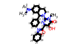 CC(=O)N(C)c1ccc2c(c1)C(c1ccccc1)N(c1nc(-c3nc4ccccc4o3)c(O)c(=O)n1C)CC2